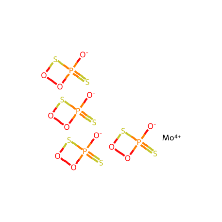 [Mo+4].[O-]P1(=S)OOS1.[O-]P1(=S)OOS1.[O-]P1(=S)OOS1.[O-]P1(=S)OOS1